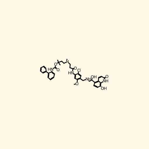 COc1cc(NC(=O)CCN(C)CCC(C)(C)OC(=O)Nc2ccccc2-c2ccccc2)c(Cl)cc1CNCC(O)c1ccc(O)c2[nH]c(=O)ccc12